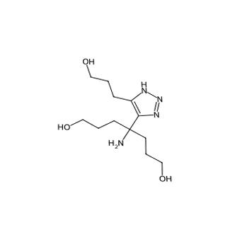 NC(CCCO)(CCCO)c1nn[nH]c1CCCO